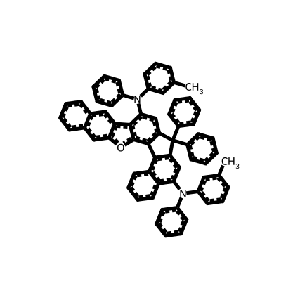 Cc1cccc(N(c2ccccc2)c2cc3c(c4ccccc24)-c2c(cc(N(c4ccccc4)c4cccc(C)c4)c4c2oc2cc5ccccc5cc24)C3(c2ccccc2)c2ccccc2)c1